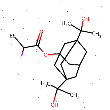 CCC(I)C(=O)OC12CC3CC(C(C)(C)O)(C1)CC(C(C)(C)O)(C3)C2